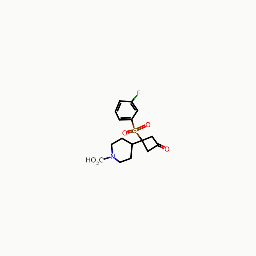 O=C1CC(C2CCN(C(=O)O)CC2)(S(=O)(=O)c2cccc(F)c2)C1